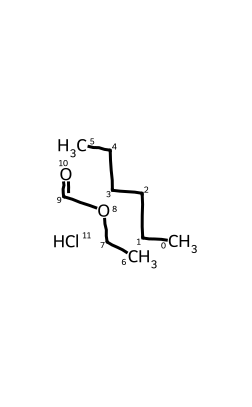 CCCCCC.CCOC=O.Cl